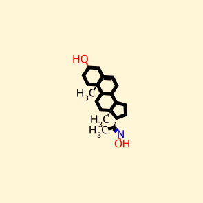 C/C(=N\O)[C@H]1CCC2C3CC=C4C[C@@H](O)CC[C@]4(C)C3CC[C@@]21C